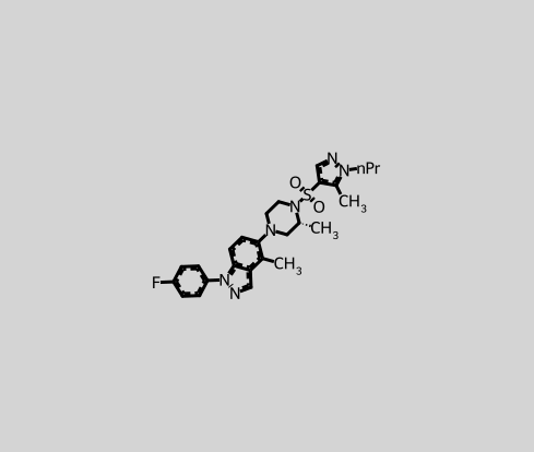 CCCn1ncc(S(=O)(=O)N2CCN(c3ccc4c(cnn4-c4ccc(F)cc4)c3C)C[C@H]2C)c1C